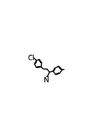 Cc1ccc(C(C#N)CCc2ccc(Cl)cc2)cc1